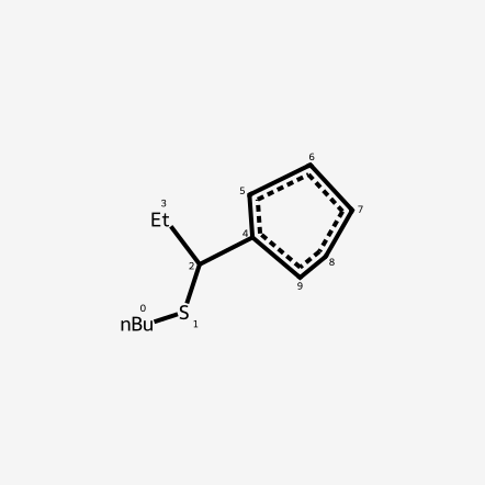 CCCCSC(CC)c1ccccc1